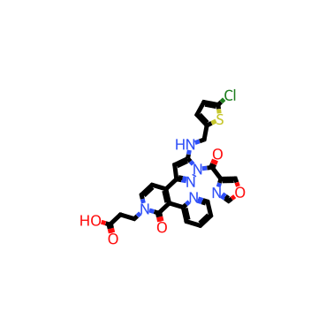 O=C(O)CCn1ccc(-c2cc(NCc3ccc(Cl)s3)n(C(=O)c3cocn3)n2)c(-c2ccccn2)c1=O